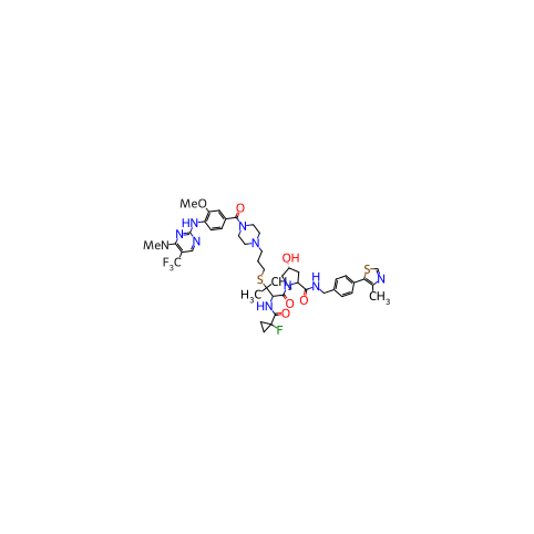 CNc1nc(Nc2ccc(C(=O)N3CCN(CCCSC(C)(C)C(NC(=O)C4(F)CC4)C(=O)N4C[C@H](O)CC4C(=O)NCc4ccc(-c5scnc5C)cc4)CC3)cc2OC)ncc1C(F)(F)F